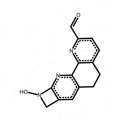 O=Cc1ccc2c(n1)-c1nc3c(cc1CC2)CN3O